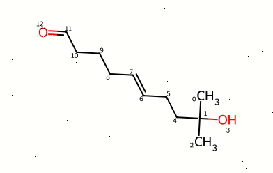 CC(C)(O)CC/C=C/CCCC=O